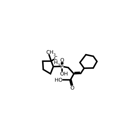 CC1(C)CCCC1P(=O)(O)CC(=CC1CCCCC1)C(=O)O